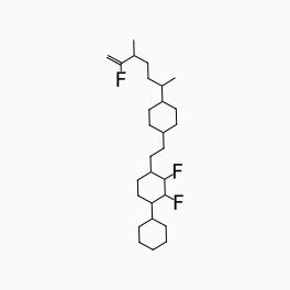 C=C(F)C(C)CCC(C)C1CCC(CCC2CCC(C3CCCCC3)C(F)C2F)CC1